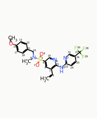 C=Cc1cc(S(=O)(=O)N(C)Cc2ccc(OC)cc2)cnc1Nc1ccc(C(F)(F)F)cn1